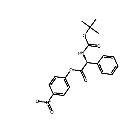 CC(C)(C)OC(=O)N[C@H](C(=O)Oc1ccc([N+](=O)[O-])cc1)c1ccccc1